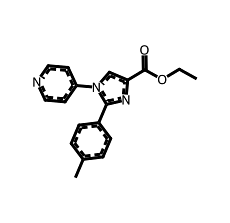 CCOC(=O)c1cn(-c2ccncc2)c(-c2ccc(C)cc2)n1